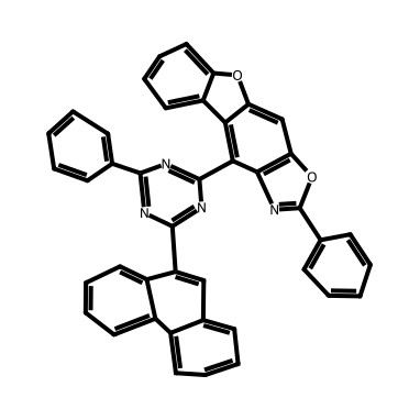 c1ccc(-c2nc(-c3cc4ccccc4c4ccccc34)nc(-c3c4nc(-c5ccccc5)oc4cc4oc5ccccc5c34)n2)cc1